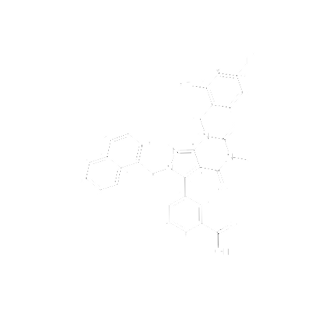 Cn1c(=O)c2c(-c3cccc(C(=O)O)c3)n(Cc3cccc4ccccc34)nc2n(Cc2ccc(F)cc2F)c1=O